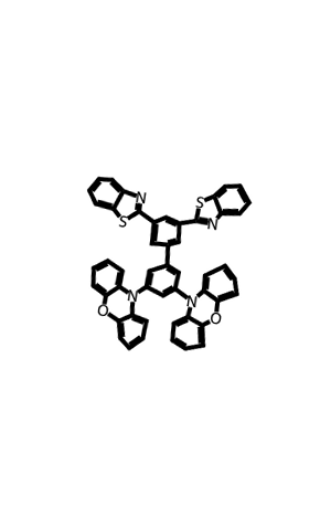 c1ccc2c(c1)Oc1ccccc1N2c1cc(-c2cc(-c3nc4ccccc4s3)cc(-c3nc4ccccc4s3)c2)cc(N2c3ccccc3Oc3ccccc32)c1